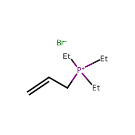 C=CC[P+](CC)(CC)CC.[Br-]